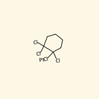 ClC1(Cl)CCCCC1(Cl)Cl.[Pt]